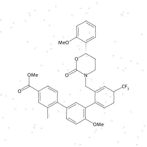 COC(=O)c1ccc(-c2ccc(OC)c(C3=CCC(C(F)(F)F)C=C3CN3CC[C@@H](c4ccccc4OC)OC3=O)c2)c(C)c1